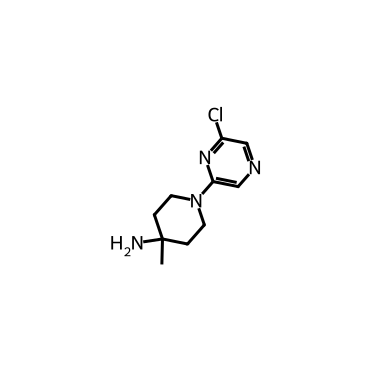 CC1(N)CCN(c2cncc(Cl)n2)CC1